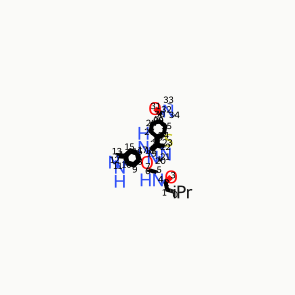 CC(C)CC(=O)NCCOc1cc2[nH]ncc2cc1Nc1ncnc2sc3c(c12)CC[C@H](C(=O)N(C)C)C3